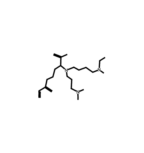 C=CC(=C)CCCC(C(=C)C)N(CCCCN(C)CC)CCCN(C)C